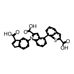 O=C(O)C1=CCc2ccc(-n3c(C(=O)O)cc4c(-c5cccc6cc(C(=O)O)sc56)cccc43)cc21